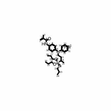 Br.C=C(C)C(=O)Nc1ccc(N(CCC(C)[Si](OCCC)(OCCC)OCCC)c2ccccc2)cc1